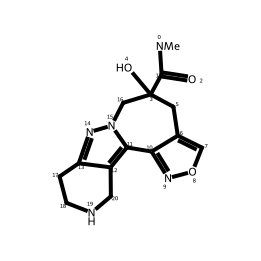 CNC(=O)C1(O)Cc2conc2-c2c3c(nn2C1)CCNC3